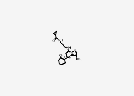 Bc1cnn2c(NCCCNC(=O)C3CC3)cc(C3=C(C)CCC=C3)nc12